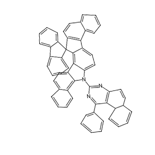 C1=CC2C=Cc3nc(-n4c5ccc6c(c5c5ccc7ccccc7c54)C4(c5ccccc5-c5ccccc54)c4ccc5ccccc5c4-6)nc(-c4ccccc4)c3C2C=C1